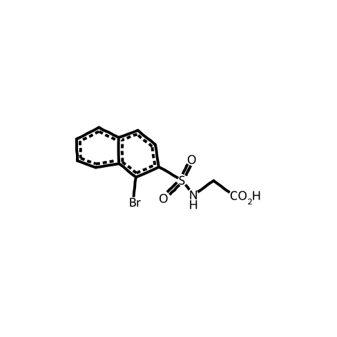 O=C(O)CNS(=O)(=O)c1ccc2ccccc2c1Br